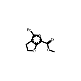 COC(=O)c1sc(Br)c2c1OCC2